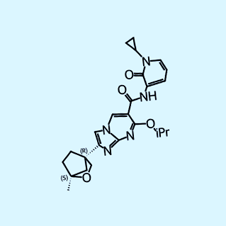 CC(C)Oc1nc2nc([C@@]34CC[C@@](C)(C3)OC4)cn2cc1C(=O)Nc1cccn(C2CC2)c1=O